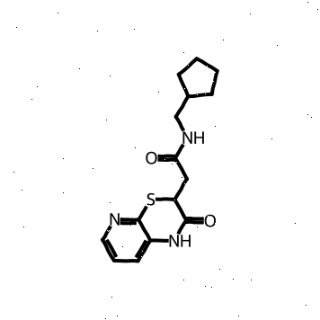 O=C(CC1Sc2ncccc2NC1=O)NCC1CCCC1